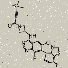 C[Si](C)(C)C#CC(=O)N1CC(Nc2ncnc3c(F)c(-c4ccc(F)c5scnc45)c(Cl)cc23)C1